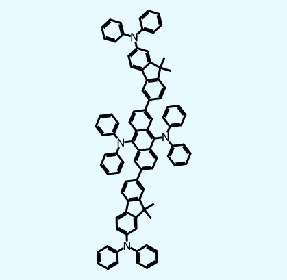 CC1(C)c2ccc(-c3ccc4c(N(c5ccccc5)c5ccccc5)c5cc(-c6ccc7c(c6)C(C)(C)c6cc(N(c8ccccc8)c8ccccc8)ccc6-7)ccc5c(N(c5ccccc5)c5ccccc5)c4c3)cc2-c2ccc(N(c3ccccc3)c3ccccc3)cc21